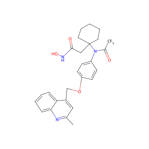 Cc1cc(COc2ccc(N(C(=O)C(F)(F)F)C3(CC(=O)NO)CCCCC3)cc2)c2ccccc2n1